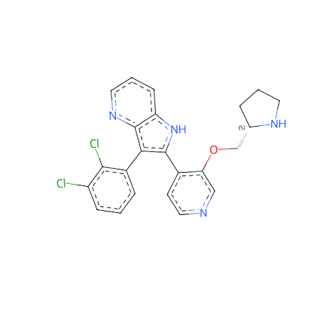 Clc1cccc(-c2c(-c3ccncc3OC[C@@H]3CCCN3)[nH]c3cccnc23)c1Cl